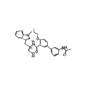 CCCOc1ccc(-c2cccc(NC(C)=O)c2)cc1C(=O)N[C@@H](CO)Cc1cn(C)c2ccccc12